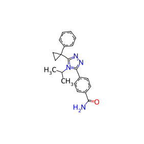 CC(C)n1c(-c2ccc(C(N)=O)cc2)nnc1C1(c2ccccc2)CC1